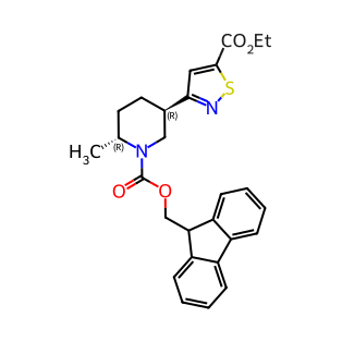 CCOC(=O)c1cc([C@@H]2CC[C@@H](C)N(C(=O)OCC3c4ccccc4-c4ccccc43)C2)ns1